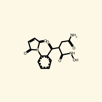 NC(=O)CC(C(=O)NO)C(=O)c1ccccc1N1C(=O)C=CC1=O